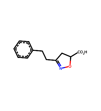 O=C(O)C1CC(CCc2ccccc2)=NO1